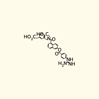 N=C(N)Nc1ccc(C(=O)Oc2ccc3c(C(=O)N(CC(=O)O)Cc4cccc(CC(=O)O)c4)cccc3c2)cc1